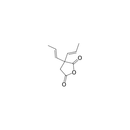 CC=CC1(C=CC)CC(=O)OC1=O